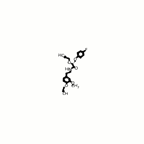 C#CCOc1ccc(CCNC(=O)[C@@H](COc2ccc(F)cc2)OCC#C)cc1OC